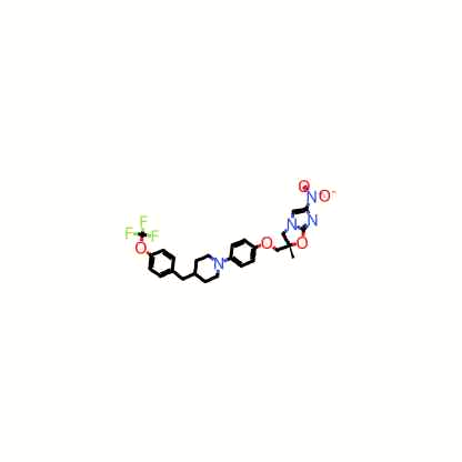 C[C@@]1(COc2ccc(N3CCC(Cc4ccc(OC(F)(F)F)cc4)CC3)cc2)Cn2cc([N+](=O)[O-])nc2O1